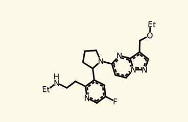 CCNCCc1ncc(F)cc1C1CCCN1c1ccn2ncc(COCC)c2n1